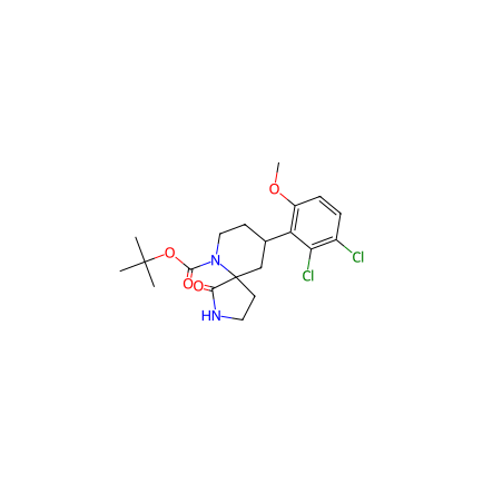 COc1ccc(Cl)c(Cl)c1C1CCN(C(=O)OC(C)(C)C)C2(CCNC2=O)C1